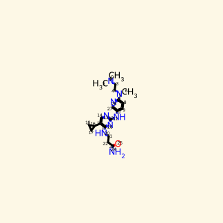 CN(C)CCN(C)c1ccc(Nc2ncc(C3CC3)c(NCCC(N)=O)n2)cn1